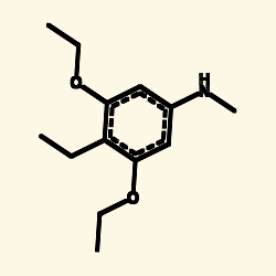 CCOc1cc(NC)cc(OCC)c1CC